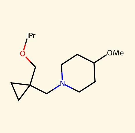 COC1CCN(CC2(COC(C)C)CC2)CC1